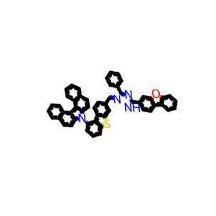 N=C(/N=C(\N=C\c1ccc2c(c1)sc1cccc(-n3c4ccc5ccccc5c4c4c5ccccc5ccc43)c12)c1ccccc1)c1ccc2c(c1)oc1ccccc12